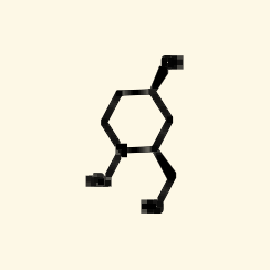 CCCCN1CC[C@@H](O)C[C@H]1CO